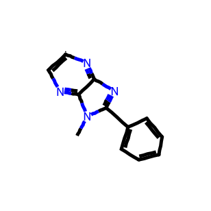 Cn1c(-c2ccccc2)nc2n[c]cnc21